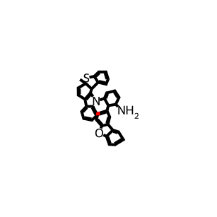 CC12C=Cc3c(n(C4=CC=CC(N)C4c4ccc5oc6ccccc6c5c4)c4ccccc34)C1c1ccccc1S2